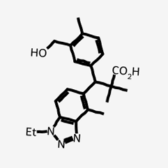 CCn1nnc2c(C)c(C(c3ccc(C)c(CO)c3)C(C)(C)C(=O)O)ccc21